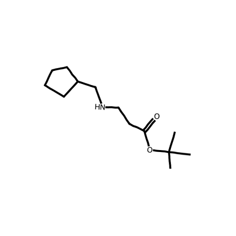 CC(C)(C)OC(=O)CCNCC1CCCC1